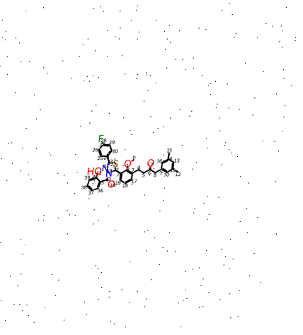 COc1c(CCC(=O)Cc2cc(C)cc(C)c2)cccc1C1SC(c2ccc(F)cc2)=NN1C(=O)c1ccccc1O